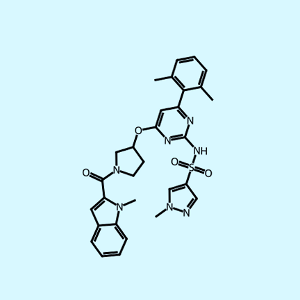 Cc1cccc(C)c1-c1cc(OC2CCN(C(=O)c3cc4ccccc4n3C)C2)nc(NS(=O)(=O)c2cnn(C)c2)n1